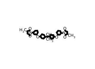 CC1=CC(=O)N(c2cccc(Oc3ccc(C(C)(C)c4ccc(Oc5cccc(N6C(=O)C=C(C)C6=O)c5)cc4)cc3)c2)C1=O